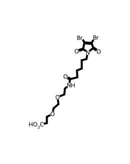 O=C(O)CCOCCOCCNC(=O)CCCCCN1C(=O)C(Br)=C(Br)C1=O